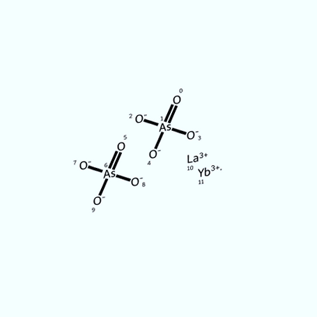 O=[As]([O-])([O-])[O-].O=[As]([O-])([O-])[O-].[La+3].[Yb+3]